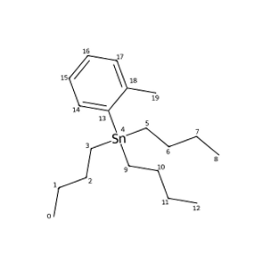 CCC[CH2][Sn]([CH2]CCC)([CH2]CCC)[c]1ccccc1C